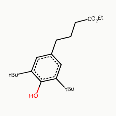 CCOC(=O)CCCc1cc(C(C)(C)C)c(O)c(C(C)(C)C)c1